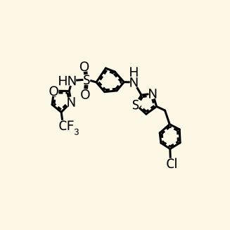 O=S(=O)(Nc1nc(C(F)(F)F)co1)c1ccc(Nc2nc(Cc3ccc(Cl)cc3)cs2)cc1